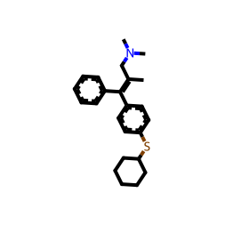 CC(CN(C)C)=C(c1ccccc1)c1ccc(SC2CCCCC2)cc1